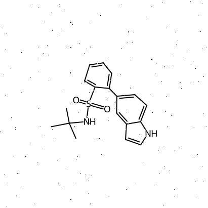 CC(C)(C)NS(=O)(=O)c1ccccc1-c1ccc2[nH]ccc2c1